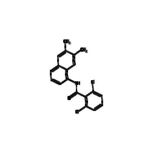 Cc1cc2cccc(NC(=O)c3c(Cl)cccc3Cl)c2cc1C